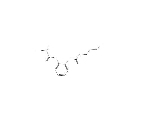 CCCCCC(=O)Oc1ccccc1OC(=O)C(C)C